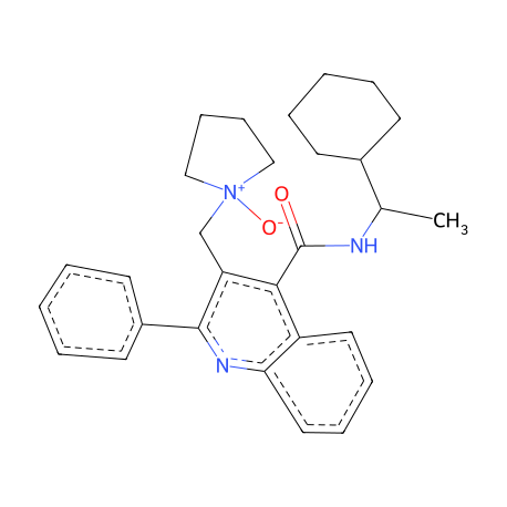 CC(NC(=O)c1c(C[N+]2([O-])CCCC2)c(-c2ccccc2)nc2ccccc12)C1CCCCC1